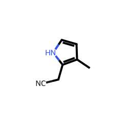 Cc1cc[nH]c1CC#N